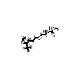 CNC(=S)NCCSCCc1ocnc1C(F)(F)F